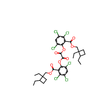 CCC1CCC1(CC)COC(=O)c1c(Cl)c(Cl)cc(Cl)c1OC(=O)C(=O)Oc1c(Cl)cc(Cl)c(Cl)c1C(=O)OCC1(CC)CCC1CC